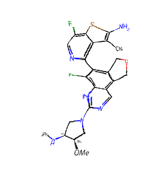 CO[C@@H]1CN(c2ncc3c4c(c(-c5ncc(F)c6sc(N)c(C#N)c56)c(F)c3n2)COC4)C[C@@H]1NC(C)C